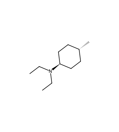 CCN(CC)[C@H]1CC[C@H](C)CC1